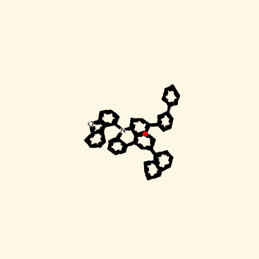 c1ccc(-c2cccc(-c3ccc(N(c4ccccc4-c4cccc(-c5cccc6ccccc56)c4)c4cccc5oc6ccccc6c45)cc3)c2)cc1